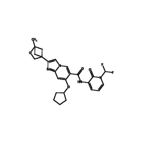 CC12CC(c3cn4cc(C(=O)Nc5cccn(C(F)F)c5=O)c(OC5CCCC5)cc4n3)(CO1)C2